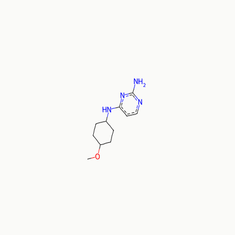 COC1CCC(Nc2ccnc(N)n2)CC1